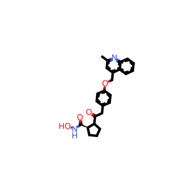 Cc1cc(COc2ccc(CC(=O)C3CCC[C@H]3C(=O)NO)cc2)c2ccccc2n1